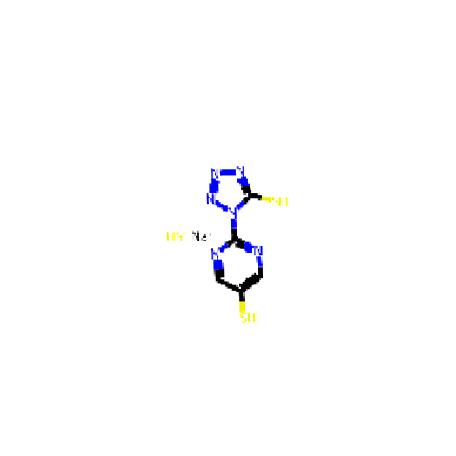 Sc1cnc(-n2nnnc2S)nc1.[Na+].[SH-]